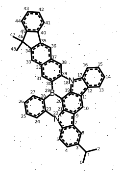 CC(C)c1ccc2c(c1)c1cc3c4ccccc4n4c3c3c1n2-c1ccccc1B3c1cc2cc3c(cc2cc1-4)-c1ccccc1C3(C)C